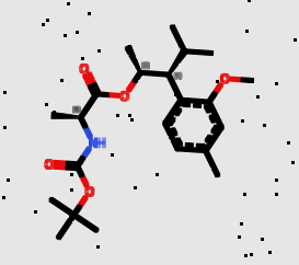 COc1cc(C)ccc1[C@H](C(C)C)[C@H](C)OC(=O)[C@H](C)NC(=O)OC(C)(C)C